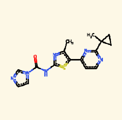 Cc1nc(NC(=O)n2ccnc2)sc1-c1ccnc(C2(C)CC2)n1